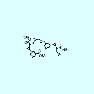 COC(=O)c1cncc(C2CC2N(CC2CC2COCc2cncc(C3C[C@@H]3N(CC3CC3)C(=O)OC(C)(C)C)c2)C(=O)OC(C)(C)C)c1